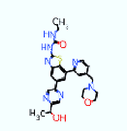 CCNC(=O)Nc1nc2cc(-c3cnc(C(C)O)cn3)cc(-c3cc(CN4CCOCC4)ccn3)c2s1